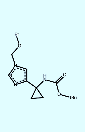 CCOCn1cnc(C2(NC(=O)OC(C)(C)C)CC2)c1